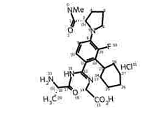 CNC(=O)[C@@H]1CCCN1c1ccc(C(=NCC(=O)O)NC(=O)[C@H](C)N)c(C2CCCCC2)c1F.Cl